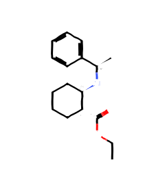 CCOC(=O)[C@@H]1CCCC[C@H]1N[C@H](C)c1ccccc1